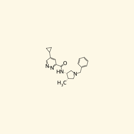 C[C@H]1CN(Cc2ccccc2)C[C@H]1NC(=O)c1cc(C2CC2)cnn1